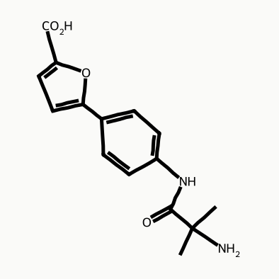 CC(C)(N)C(=O)Nc1ccc(-c2ccc(C(=O)O)o2)cc1